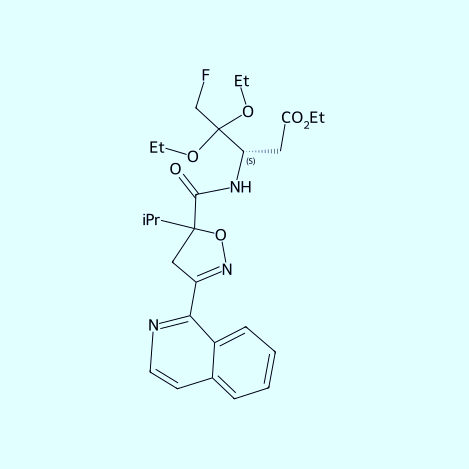 CCOC(=O)C[C@H](NC(=O)C1(C(C)C)CC(c2nccc3ccccc23)=NO1)C(CF)(OCC)OCC